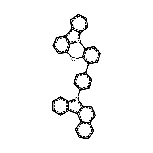 c1cc(-c2ccc(-n3c4ccccc4c4c5ccccc5ccc43)cc2)c2c(c1)-n1c3ccccc3c3cccc(c31)O2